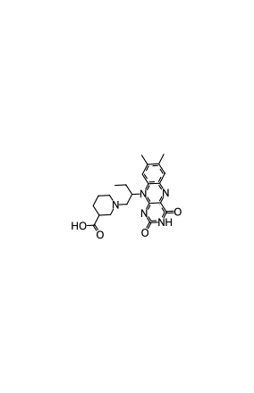 CCC(CN1CCCC(C(=O)O)C1)n1c2nc(=O)[nH]c(=O)c-2nc2cc(C)c(C)cc21